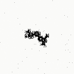 COC(=O)[C@@H](NC(=O)c1ccnc(-c2ccc3c(c2)c(C#N)nn3C(C)C)c1)C(C)C